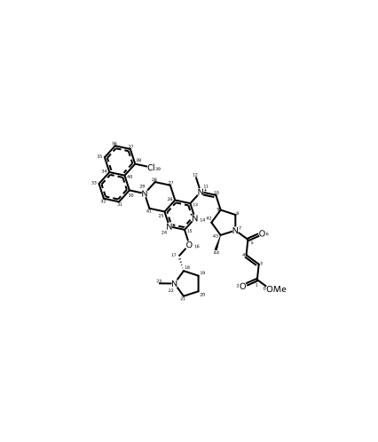 COC(=O)/C=C/C(=O)N1CC(/C=[N+](/C)c2nc(OC[C@@H]3CCCN3C)nc3c2CCN(c2cccc4cccc(Cl)c24)C3)C[C@@H]1C